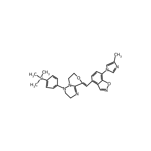 Cc1cn(-c2ccc(/C=C3\OCCN4C3=NCCN4c3ccc([Si](C)(C)C)cc3)c3cnoc23)cn1